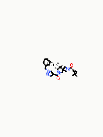 CC1(C)C[C@@H]1C(=O)N1CC2(CN(C(=O)c3cnn(Cc4ccccc4)c3)CC2(C)C(=O)O)C1